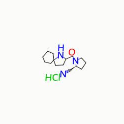 Cl.N#C[C@@H]1CCCN1C(=O)C1CCC2(CCCCC2)N1